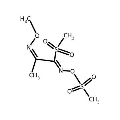 CON=C(C)C(=NOS(C)(=O)=O)S(C)(=O)=O